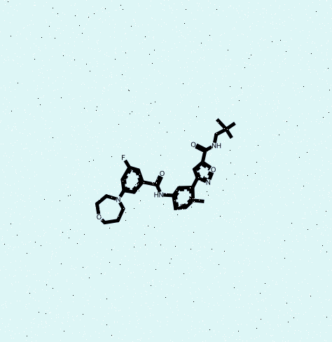 Cc1ccc(NC(=O)c2cc(F)cc(N3CCCOCC3)c2)cc1-c1cc(C(=O)NCC(C)(C)C)on1